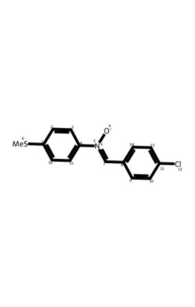 CSc1ccc([N+]([O-])=Cc2ccc(Cl)cc2)cc1